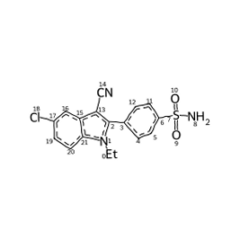 CCn1c(-c2ccc(S(N)(=O)=O)cc2)c(C#N)c2cc(Cl)ccc21